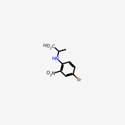 CC(Nc1ccc(Br)cc1[N+](=O)[O-])C(=O)O